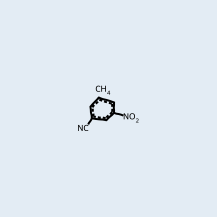 C.N#Cc1cccc([N+](=O)[O-])c1